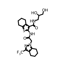 O=C(Cn1nc(C(F)(F)F)c2c1CCCC2)Nc1sc2c(c1C(=O)NCC(O)CO)CCCC2